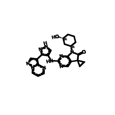 O=C1N([C@@H]2CCC[C@@H](O)C2)c2nc(Nc3c[nH]nc3-c3cnn4cccnc34)ncc2C12CC2